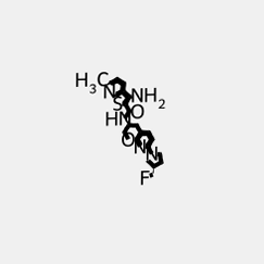 Cc1ccc2c(N)c(C(=O)N[C@H]3COc4nc(N5CC[C@H](CF)C5)ccc4C3)sc2n1